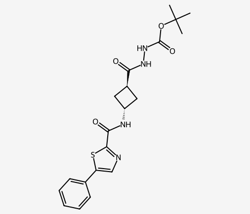 CC(C)(C)OC(=O)NNC(=O)[C@H]1C[C@H](NC(=O)c2ncc(-c3ccccc3)s2)C1